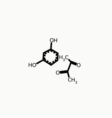 CC(=O)C(C)=O.Oc1cccc(O)c1